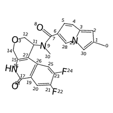 Cc1cc2ccc(C(=O)N(C)C3COCc4[nH]c(=O)c5cc(F)c(F)cc5c43)cn2c1